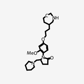 COc1cc(OCCCC2CCCCNC2)ccc1N1C(=O)CCC1CN1CCCCC1